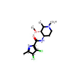 CCO[C@@H]1C(CC)N(C(=O)O)CC[C@H]1NC(=O)C1=C(Cl)C(Cl)C(C)=N1